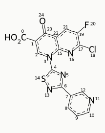 O=C(O)c1cn(-c2nc(-c3cccnc3)ns2)c2nc(Cl)c(F)cc2c1=O